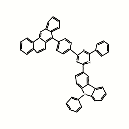 c1ccc(-c2nc(-c3ccc(-c4c5ccccc5cc5c4ccc4ccccc45)cc3)nc(-c3ccc4c(c3)c3ccccc3n4-c3ccccc3)n2)cc1